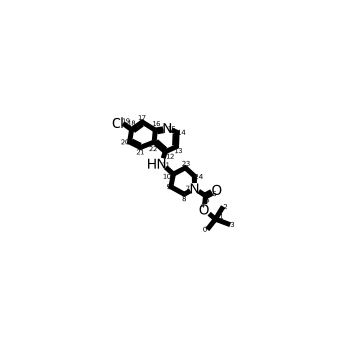 CC(C)(C)OC(=O)N1CCC(Nc2ccnc3cc(Cl)ccc23)CC1